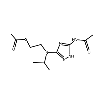 CC(=O)Nc1nc(N(CCSC(C)=O)C(C)C)n[nH]1